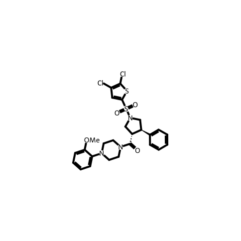 COc1ccccc1N1CCN(C(=O)[C@@H]2CN(S(=O)(=O)c3cc(Cl)c(Cl)s3)C[C@H]2c2ccccc2)CC1